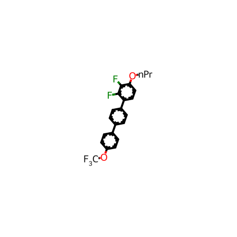 CCCOc1ccc(-c2ccc(-c3ccc(OC(F)(F)F)cc3)cc2)c(F)c1F